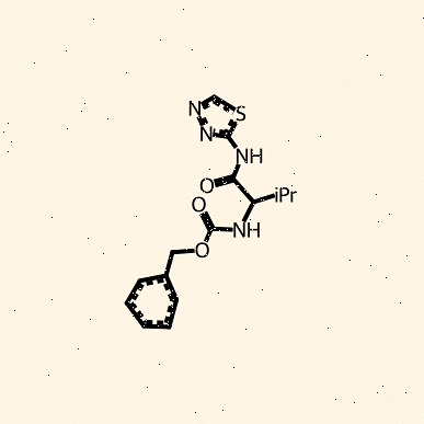 CC(C)C(NC(=O)OCc1ccccc1)C(=O)Nc1nncs1